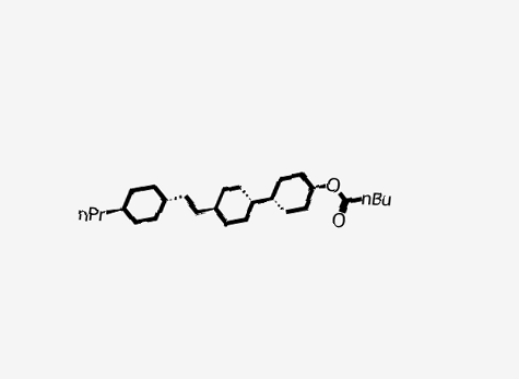 CCCCC(=O)O[C@H]1CC[C@H]([C@H]2CC[C@H](CC[C@H]3CC[C@H](CCC)CC3)CC2)CC1